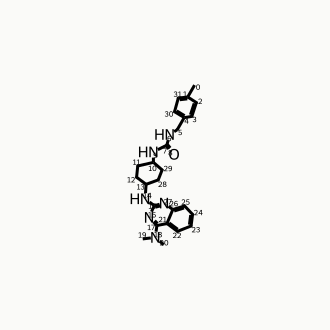 Cc1ccc(CNC(=O)NC2CCC(Nc3nc(N(C)C)c4ccccc4n3)CC2)cc1